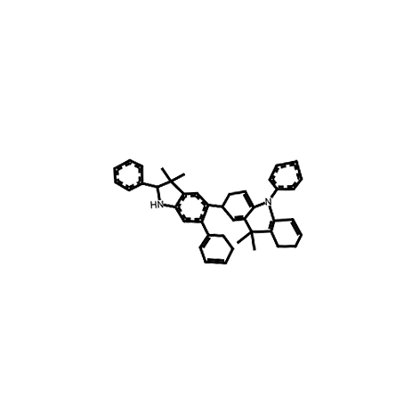 CC1(C)C2=CC(c3cc4c(cc3C3=CC=CCC3)NC(c3ccccc3)C4(C)C)CC=C2N(c2ccccc2)C2=C1CCC=C2